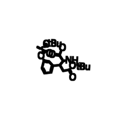 CC(C)(C)OC(=O)CC(c1cccc(OS(C)(=O)=O)c1)C(N)C(=O)OC(C)(C)C